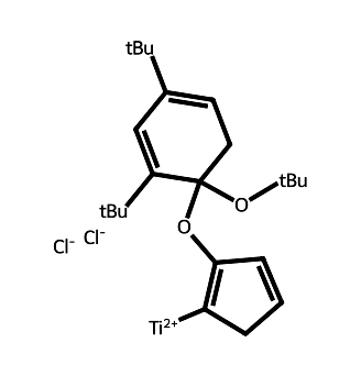 CC(C)(C)OC1(OC2=[C]([Ti+2])CC=C2)CC=C(C(C)(C)C)C=C1C(C)(C)C.[Cl-].[Cl-]